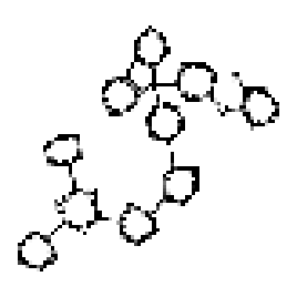 c1ccc(-c2nc(-c3ccccc3)nc(-c3cccc(-c4cccc(-c5ccc(C6(c7ccc8c(c7)Oc7ccccc7O8)c7ccccc7-c7ccccc76)cc5)c4)c3)n2)cc1